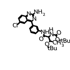 CC(OC(C)(C)C)C(NC(=O)OC(C)(C)C)C(=O)Nc1cccc(-c2nc(N)nc3ccc(Cl)cc23)c1